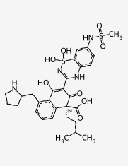 CC(C)CC[C@@]1(C(=O)O)C(=O)C(C2=NS(O)(O)c3cc(NS(C)(=O)=O)ccc3N2)=C(O)c2c(CC3CCCN3)cccc21